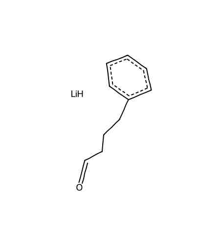 O=CCCCc1ccccc1.[LiH]